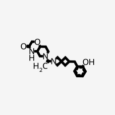 C=C(N1CCC2OCC(=O)NC2C1)N1CC2(CC(Cc3ccccc3O)C2)C1